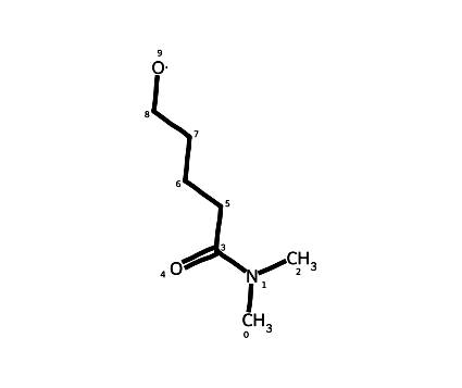 CN(C)C(=O)CCCC[O]